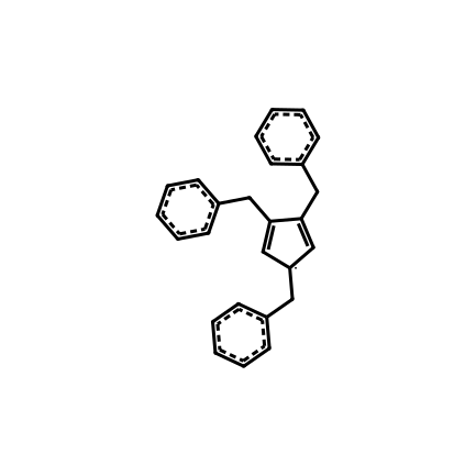 C1=C(Cc2ccccc2)C(Cc2ccccc2)=C[C]1Cc1ccccc1